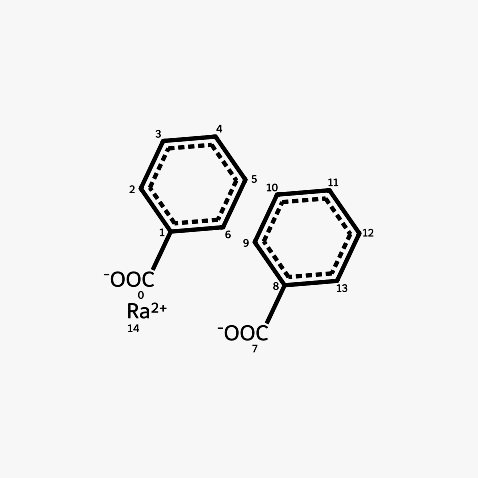 O=C([O-])c1ccccc1.O=C([O-])c1ccccc1.[Ra+2]